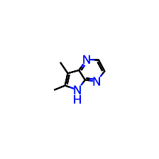 Cc1[nH]c2nccnc2c1C